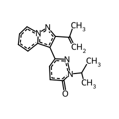 C=C(C)c1nn2ccccc2c1-c1ccc(=O)n(C(C)C)n1